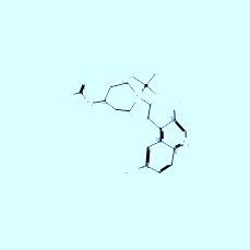 CC(C)(C)[N+]1(CCc2c(F)cnc3ccc(F)cc23)CCC(NC(=O)[O-])CC1